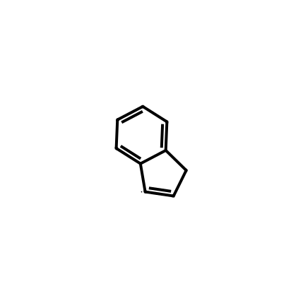 [C]1=CCc2ccccc21